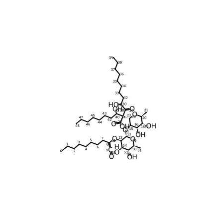 CCCCCCCCC(=C=O)O[C@H]1[C@H](O[C@@H]2[C@H](O)[C@@H](O)[C@H](C)O[C@H]2C(C(=O)O)(C(=O)C(O)CCCCCCCC)C(O)CCCCCCC)O[C@@H](C)[C@H](O)[C@H]1O